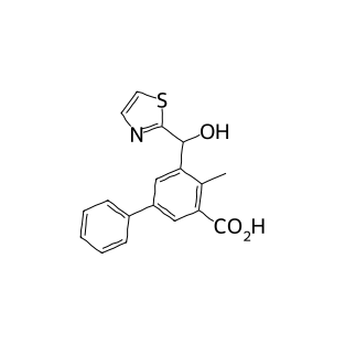 Cc1c(C(=O)O)cc(-c2ccccc2)cc1C(O)c1nccs1